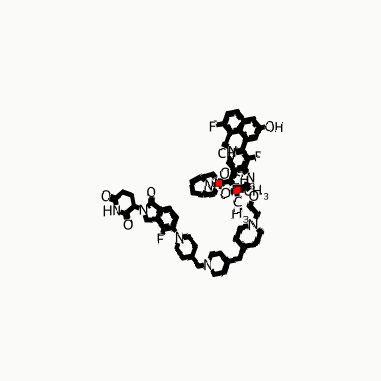 C#Cc1c(F)ccc2cc(O)cc(-c3ncc4c(N5CC6CCC(C5)N6C(=O)OC(C)(C)C)nc(OCCN5CCC(CC6CCN(CC7CCN(c8ccc9c(c8F)CN(C8CCC(=O)NC8=O)C9=O)CC7)CC6)CC5)nc4c3F)c12